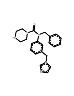 O=C(N1CCNCC1)N(Cc1ccccc1)c1cccc(Cn2ccnc2)c1